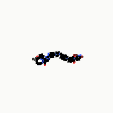 C[C@@]1(O)CC/C=C\Cn2c(=O)c3cnc(Nc4ccc(N5CCN(CC6CCC7(CCN(c8ccc9c(c8)C(=O)N(C8CCC(=O)NC8=O)C9=O)CC7)C6)CC5)cc4)nc3n2-c2cccc1n2